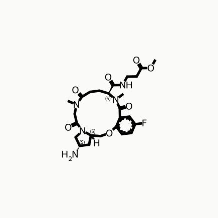 COC(=O)CCNC(=O)[C@@H]1CCC(=O)N(C)CC(=O)N2C[C@@H](N)C[C@H]2COc2ccc(F)cc2C(=O)N1C